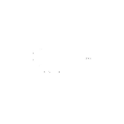 CCCCCCCCCCCCOc1ccccc1.O=S(=O)(O)O